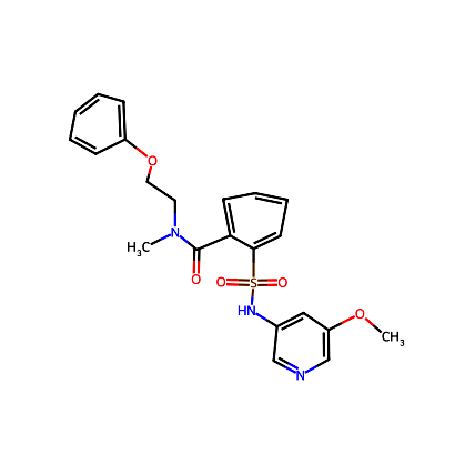 COc1cncc(NS(=O)(=O)c2ccccc2C(=O)N(C)CCOc2ccccc2)c1